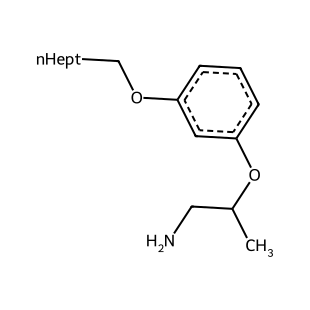 CCCCCCCCOc1cccc(OC(C)CN)c1